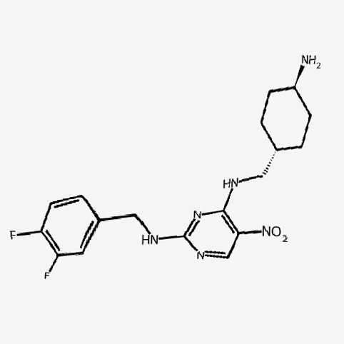 N[C@H]1CC[C@H](CNc2nc(NCc3ccc(F)c(F)c3)ncc2[N+](=O)[O-])CC1